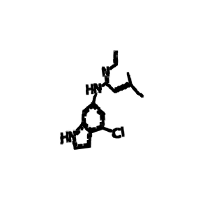 C=C/N=C(\C=C(C)C)Nc1cc(Cl)c2cc[nH]c2c1